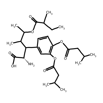 CCC(C)C(=O)OC(C)C(C)C(c1ccc(OC(=O)CC(C)C)c(OC(=O)CC(C)C)c1)[C@H](N)C(=O)O